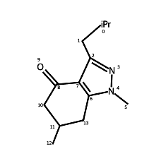 CC(C)Cc1nn(C)c2c1C(=O)CC(C)C2